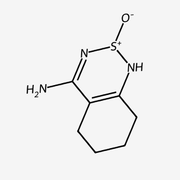 NC1=N[S+]([O-])NC2=C1CCCC2